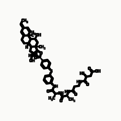 C/C=C1\C=C[C@@]2(C)C(=C1)CC[C@@H]1C2[C@@H](O)C[C@@]2(C)C1C[C@H]1O[C@@H](c3ccc(Sc4cccc(NC(=O)[C@H](C)NC(=O)[C@H](C)NC(=O)CCNC(=O)C(S)CC(=O)O)c4)cc3)O[C@]12C(=O)CO